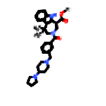 CC(C)OC(=O)C1=CN(C(=O)c2cccc(CN3CCC(N4CCCC4)CC3)c2)CC(C)(C)c2c1[nH]c1ccccc21